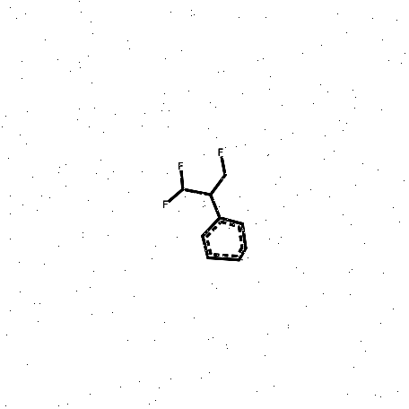 FCC(c1cc[c]cc1)C(F)F